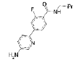 CC(C)CNC(=O)c1ccc(-c2ccc(N)cn2)cc1F